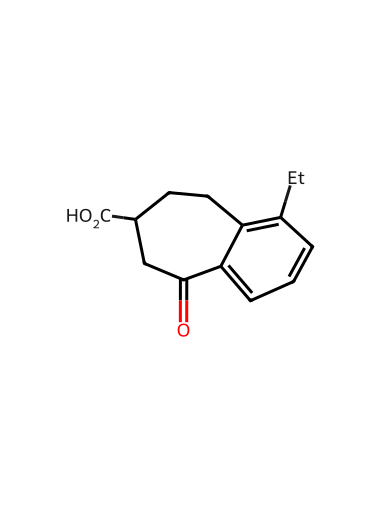 CCc1cccc2c1CCC(C(=O)O)CC2=O